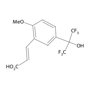 COc1ccc(C(O)(C(F)(F)F)C(F)(F)F)cc1C=CC(=O)O